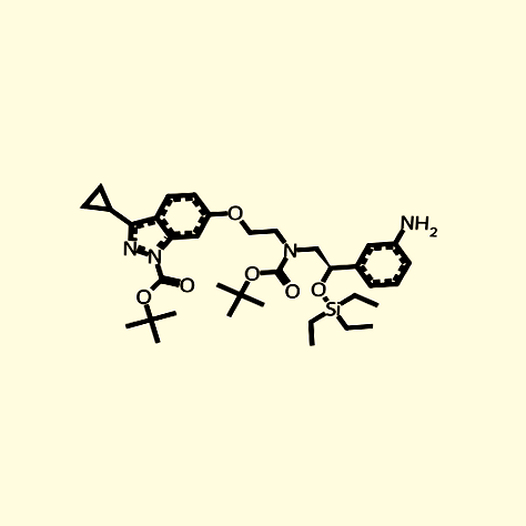 CC[Si](CC)(CC)O[C@@H](CN(CCOc1ccc2c(C3CC3)nn(C(=O)OC(C)(C)C)c2c1)C(=O)OC(C)(C)C)c1cccc(N)c1